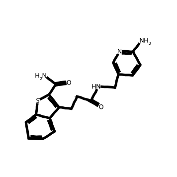 NC(=O)c1sc2ccccc2c1C[CH]C(=O)NCc1ccc(N)nc1